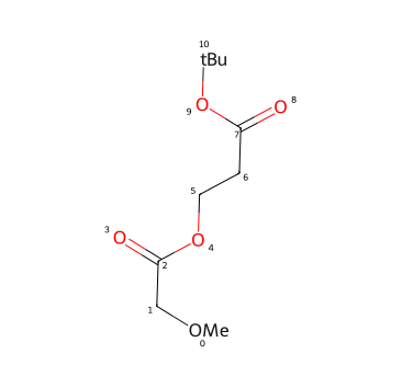 COCC(=O)OCCC(=O)OC(C)(C)C